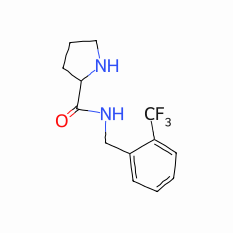 O=C(NCc1ccccc1C(F)(F)F)C1CCCN1